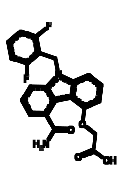 NC(=O)c1cccc2c1c1c(OCC(=O)O)cccc1n2Cc1c(F)cccc1F